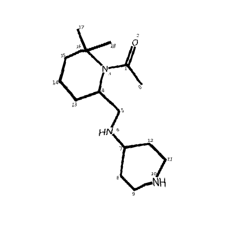 CC(=O)N1C(CNC2CCNCC2)CCCC1(C)C